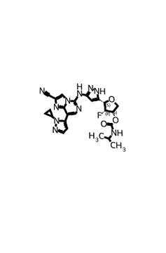 CC(C)NC(=O)O[C@H]1CO[C@@H](c2cc(Nc3ncc(-c4ccnn4C4CC4)c4nc(C#N)cn34)n[nH]2)[C@H]1F